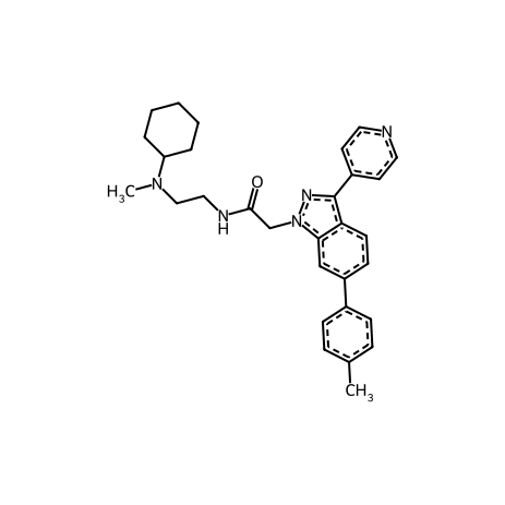 Cc1ccc(-c2ccc3c(-c4ccncc4)nn(CC(=O)NCCN(C)C4CCCCC4)c3c2)cc1